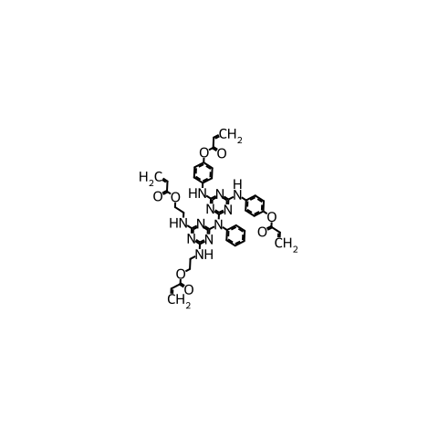 C=CC(=O)OCCNc1nc(NCCOC(=O)C=C)nc(N(c2ccccc2)c2nc(Nc3ccc(OC(=O)C=C)cc3)nc(Nc3ccc(OC(=O)C=C)cc3)n2)n1